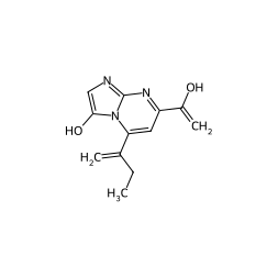 C=C(O)c1cc(C(=C)CC)n2c(O)cnc2n1